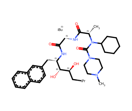 CC[C@H](C)[C@H](NC(=O)[C@H](C)N(C(=O)N1CCN(C)CC1)C1CCCCC1)C(=O)N[C@@H](Cc1ccc2ccccc2c1)[C@@H](O)[C@@H](O)CC(C)C